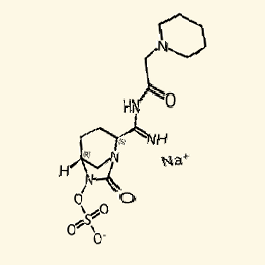 N=C(NC(=O)CN1CCCCC1)[C@@H]1CC[C@@H]2CN1C(=O)N2OS(=O)(=O)[O-].[Na+]